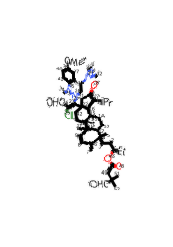 CCC(CCC1(C)C(C)CCC2(C)C1CCC1C3=C(C(C)C)C(=O)CC3(/C(=C(\Cl)C=O)N(CCN(C)C)N(C)c3ccc(OC)cc3)CC[C@]12C)OC(=O)CC(C)(C)C=O